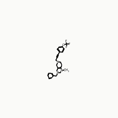 CN1CN(Cc2ccccc2)CC2=C1CCN(CC#Cc1ccc(OC(F)(F)F)cc1)C2